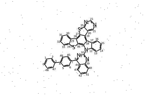 c1ccc(-c2ccc(-c3nc(-n4c5ccccc5c5c6c7cncnc7sc6c6c7ccccc7sc6c54)nc4ccccc34)cc2)cc1